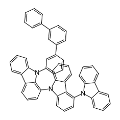 c1ccc(-c2cccc(-c3cccc(-n4c5ccccc5c5cccc(-n6c7ccccc7c7c(-n8c9ccccc9c9ccccc98)cccc76)c54)c3)c2)cc1